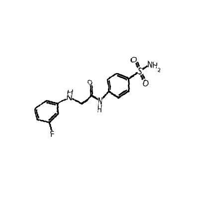 NS(=O)(=O)c1ccc(NC(=O)CNc2cccc(F)c2)cc1